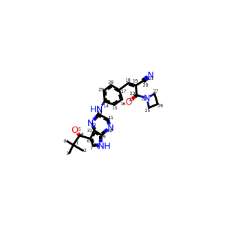 CC(C)(C)C(=O)c1c[nH]c2ncc(Nc3ccc(C=C(C#N)C(=O)N4CCC4)cc3)nc12